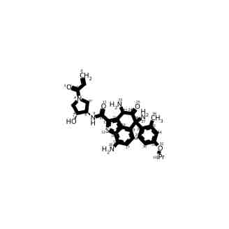 C=CC(=O)N1C[C@@H](O)[C@@H](NC(=O)c2sc3c(N)ccc4c3c2C(N)C(=O)C4(N)c2ccc(OC(C)C)cc2C)C1